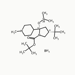 B.CN1CCC([C@@]2(O[SiH](C)C)C[C@H](C(C)(C)C)CN2C(=O)OC(C)(C)C)CC1